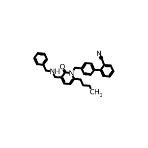 CCCCc1ccc(CNCc2ccccc2)c(=O)n1Cc1ccc(-c2ccccc2C#N)cc1